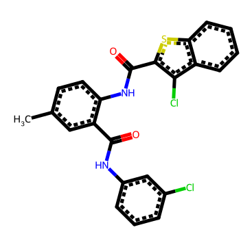 Cc1ccc(NC(=O)c2sc3ccccc3c2Cl)c(C(=O)Nc2cccc(Cl)c2)c1